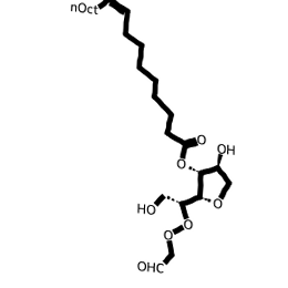 CCCCCCCC/C=C\CCCCCCCC(=O)O[C@H]1[C@@H]([C@@H](CO)OOCC=O)OC[C@@H]1O